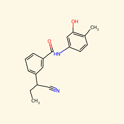 CCC(C#N)c1cccc(C(=O)Nc2ccc(C)c(O)c2)c1